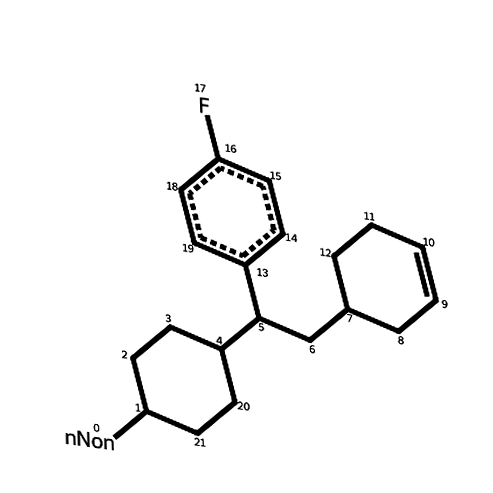 CCCCCCCCCC1CCC(C(CC2CC=CCC2)c2ccc(F)cc2)CC1